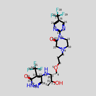 C[C@H](O)[C@@H](COCCCN1CCN(c2ncc(C(F)(F)F)cn2)C(=O)C1)Nc1cn[nH]c(=O)c1C(F)(F)F